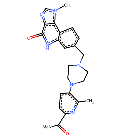 CNC(=O)c1ccc(N2CCN(Cc3ccc4c(c3)[nH]c(=O)c3ncn(C)c34)CC2)c(C)n1